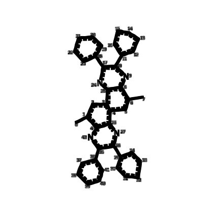 Cc1cc2c(cc(C)c3nc(-c4ccccc4)c(-c4ccccc4)nc32)c2nc(-c3ccccc3)c(-c3ccccc3)nc12